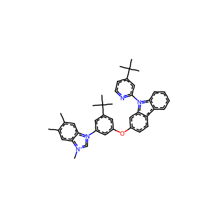 Cc1cc2c(cc1C)[n+](C)cn2-c1cc(Oc2ccc3c4ccccc4n(-c4cc(C(C)(C)C)ccn4)c3c2)cc(C(C)(C)C)c1